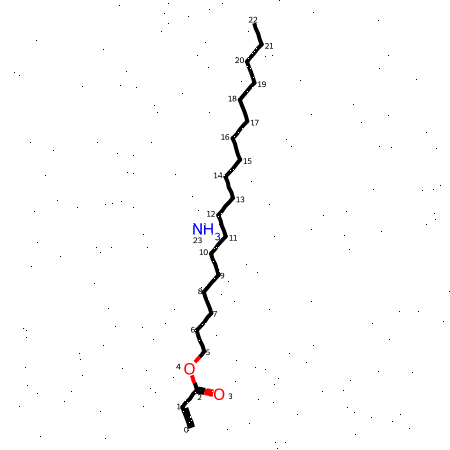 C=CC(=O)OCCCCCCCCCCCCCCCCCC.N